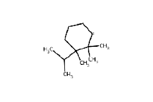 CC(C)C1(C)CCC[C]C1(C)C